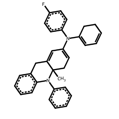 CC12CC=C(N(C3=CC=CCC3)c3ccc(F)cc3)C=C1Cc1ccccc1N2c1ccccc1